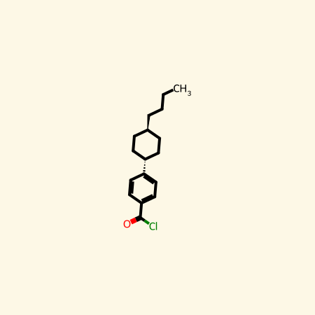 CCCC[C@H]1CC[C@H](c2ccc(C(=O)Cl)cc2)CC1